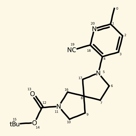 Cc1ccc(N2CCC3(CCN(C(=O)OC(C)(C)C)C3)C2)c(C#N)n1